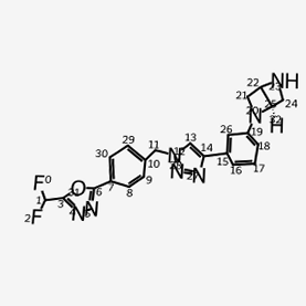 FC(F)c1nnc(-c2ccc(Cn3cc(-c4cccc(N5CC6NC[C@H]65)c4)nn3)cc2)o1